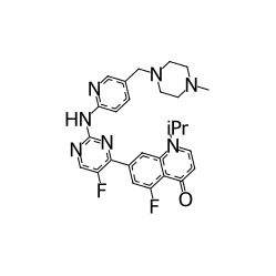 CC(C)n1ccc(=O)c2c(F)cc(-c3nc(Nc4ccc(CN5CCN(C)CC5)cn4)ncc3F)cc21